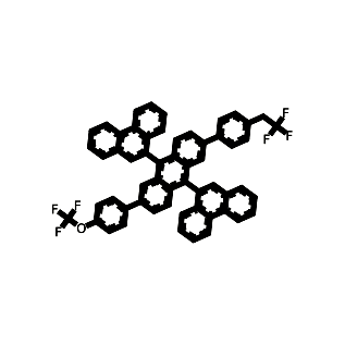 FC(F)(F)Cc1ccc(-c2ccc3c(-c4cc5ccccc5c5ccccc45)c4cc(-c5ccc(OC(F)(F)F)cc5)ccc4c(-c4cc5ccccc5c5ccccc45)c3c2)cc1